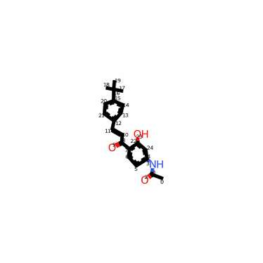 CC(=O)Nc1ccc(C(=O)C=Cc2ccc(C(C)(C)C)cc2)c(O)c1